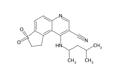 CC(C)CC(C)Nc1c(C#N)cnc2ccc3c(c12)CCS3(=O)=O